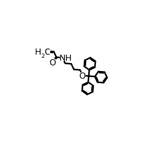 C=CC(=O)NCCCCOC(c1ccccc1)(c1ccccc1)c1ccccc1